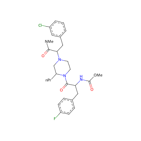 CCCC1CN(C(Cc2cccc(Cl)c2)C(=O)NC)CCN1C(=O)C(Cc1ccc(F)cc1)NC(=O)OC